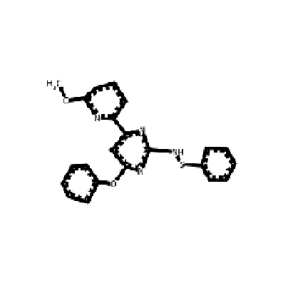 COc1cccc(-c2cc(Oc3ccccc3)nc(NSc3ccccc3)n2)n1